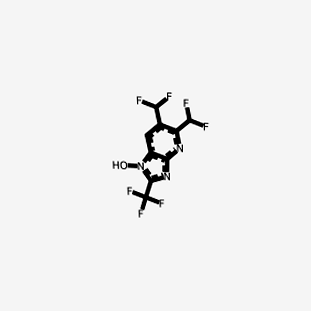 On1c(C(F)(F)F)nc2nc(C(F)F)c(C(F)F)cc21